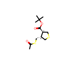 CC(=O)SC[C@H]1CSC[C@@H]1C(=O)OC(C)(C)C